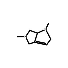 CN1CC2=CCN(C)C2C1